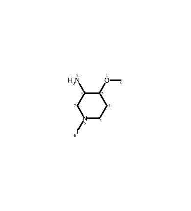 COC1CCN(I)CC1N